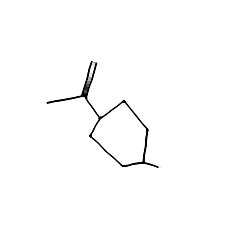 C=C(C)C1CCC(C(=O)OCC)CC1